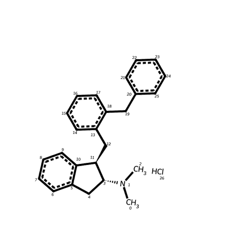 CN(C)[C@@H]1Cc2ccccc2[C@H]1Cc1ccccc1Cc1ccccc1.Cl